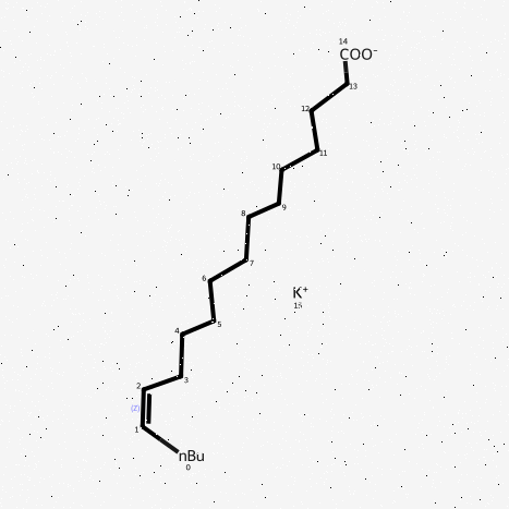 CCCC/C=C\CCCCCCCCCCCC(=O)[O-].[K+]